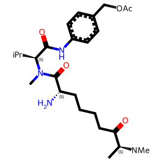 CN[C@@H](C)C(=O)CCCC[C@H](N)C(=O)N(C)[C@H](C(=O)Nc1ccc(COC(C)=O)cc1)C(C)C